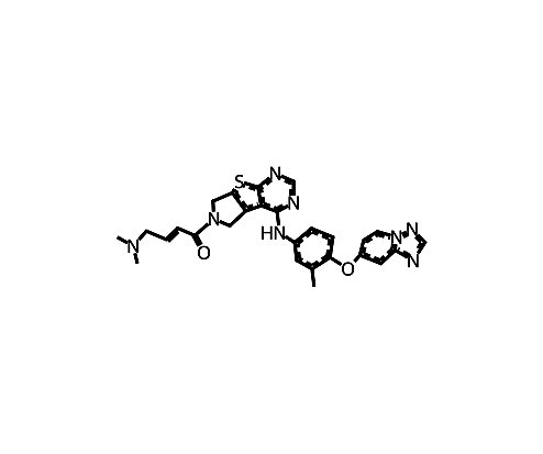 Cc1cc(Nc2ncnc3sc4c(c23)CN(C(=O)/C=C/CN(C)C)C4)ccc1Oc1ccn2ncnc2c1